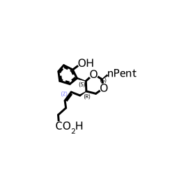 CCCCC[C@H]1OC[C@@H](C/C=C\CCC(=O)O)[C@@H](c2ccccc2O)O1